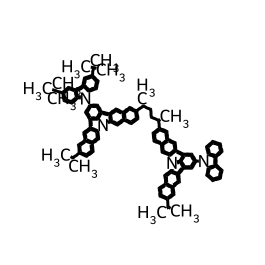 CC(C)c1ccc2cc3c(cc2c1)c1cc(-n2c4ccccc4c4ccccc42)cc2c4cc5cc(C(C)CCC(C)c6ccc7cc8c(cc7c6)c6cc(-n7c9ccc(C(C)(C)C)cc9c9cc(C(C)(C)C)ccc97)cc7c9cc%10cc(C(C)C)ccc%10cc9n8c76)ccc5cc4n3c12